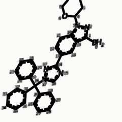 Bc1nn(C2CCCCO2)c2ccc(-c3ncn(C(c4ccccc4)(c4ccccc4)c4ccccc4)n3)cc12